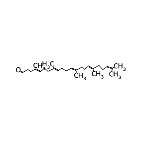 CC(C)=CCC/C(C)=C/CC/C(C)=C/CC/C=C(\C)CC/C=C(\C)CCC=O